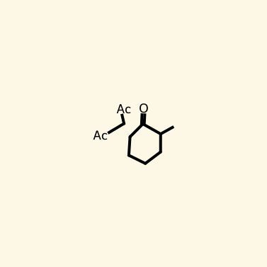 CC(=O)CC(C)=O.CC1CCCCC1=O